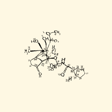 COC(=O)[C@]1(C)C[C@@H](OC(=O)NC(=O)[C@H]2CN3CC[C@@H]2C3)[C@@]2(C)C3C(=O)CCC3(CC[C@H]2C)[C@@H](C)[C@@H]1O